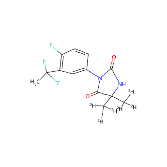 [2H]C([2H])([2H])C1(C([2H])([2H])[2H])NC(=O)N(c2ccc(F)c(C(C)(F)F)c2)C1=O